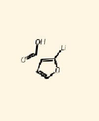 O=CO.[Li][c]1ccco1